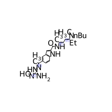 CCCCN(C)/C(=C/C=C(\C)NC(=O)c1cc2cc(/C(C)=N/N/C(N)=N\O)ccc2[nH]1)CC